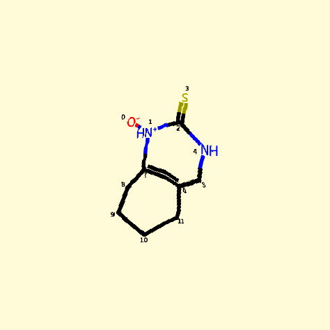 [O-][NH+]1C(=S)NCC2=C1CCCC2